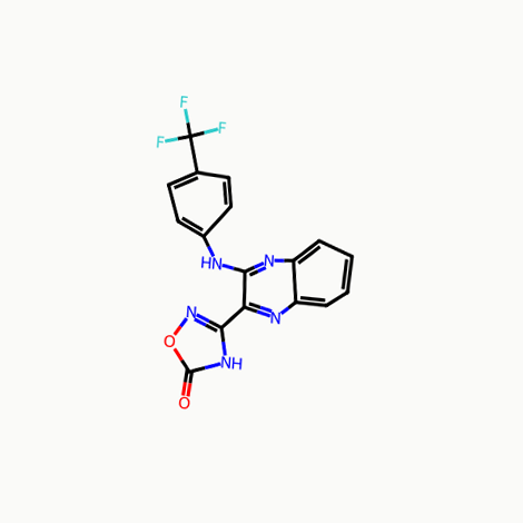 O=c1[nH]c(-c2nc3ccccc3nc2Nc2ccc(C(F)(F)F)cc2)no1